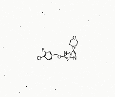 Fc1cc(COc2nn3c(N4CCOCC4)cnc3s2)ccc1Cl